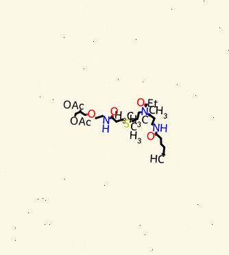 C#CCCCC(=O)NCCC(C)(C)N(CCC(C)(C)SCCC(=O)NCCOCC(COC(C)=O)OC(C)=O)C(=O)CC